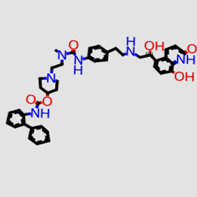 CN(CCN1CCC(OC(=O)Nc2ccccc2-c2ccccc2)CC1)C(=O)Nc1ccc(CCNC[C@@H](O)c2ccc(O)c3[nH]c(=O)ccc23)cc1